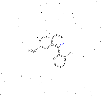 [C-]#[N+]c1ccccc1-c1nccc2ccc(C(=O)O)cc12